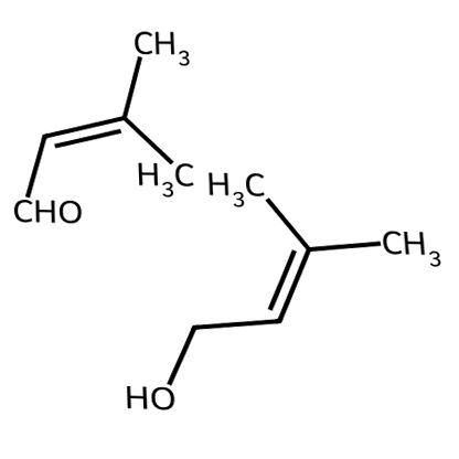 CC(C)=CC=O.CC(C)=CCO